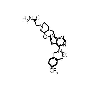 CCN(Cc1ccc(C(F)(F)F)cc1F)c1ncnc2c1ccn2C[C@@H]1CCN(CC(N)=O)C[C@H]1O